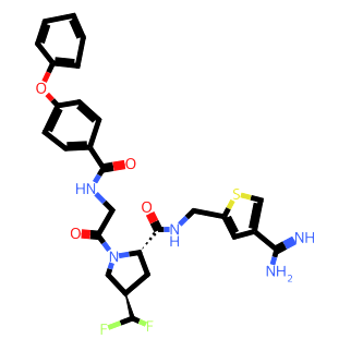 N=C(N)c1csc(CNC(=O)[C@@H]2C[C@@H](C(F)F)CN2C(=O)CNC(=O)c2ccc(Oc3ccccc3)cc2)c1